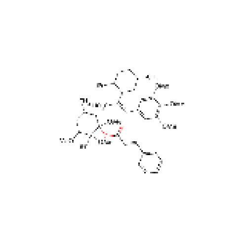 COC1CC(C)CC(OC)(OC(=O)C=Cc2ccccc2)C1(OC)C(C)C.COc1cc(C=C(C(=O)O)C2CC(C)CCC2C(C)C)cc(OC)c1OC